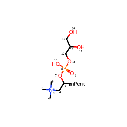 CCCCCC(C[N+](C)(C)C)OP(=O)(O)OCC(O)CO